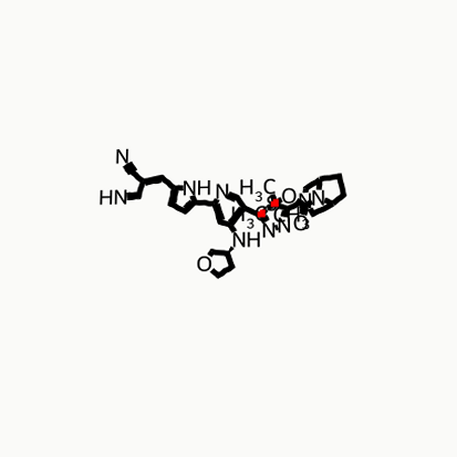 CC(C)(C)OC(=O)N1C2CCC1CN(c1nnc(-c3cnc(-c4ccc(/C=C(/C#N)C=N)[nH]4)cc3N[C@H]3CCOC3)s1)C2